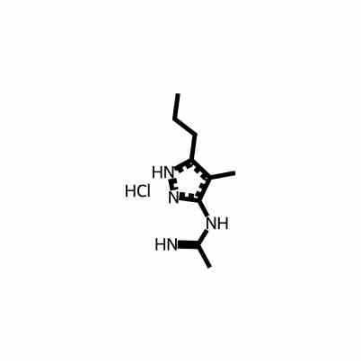 CCCc1[nH]nc(NC(C)=N)c1C.Cl